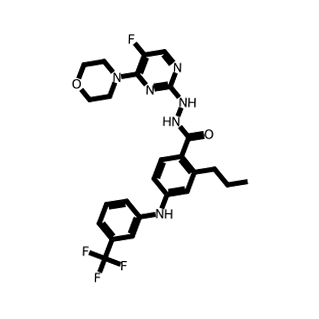 CCCc1cc(Nc2cccc(C(F)(F)F)c2)ccc1C(=O)NNc1ncc(F)c(N2CCOCC2)n1